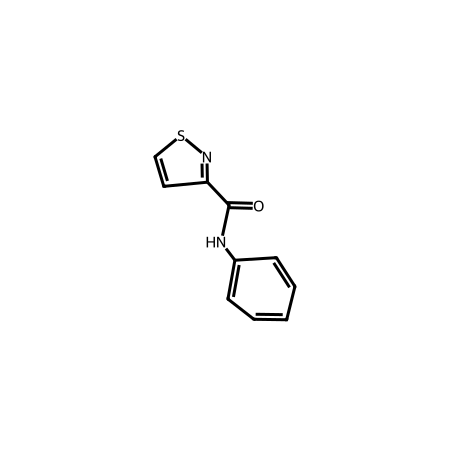 O=C(Nc1ccccc1)c1ccsn1